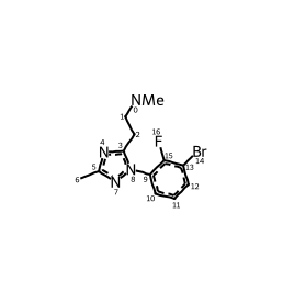 CNCCc1nc(C)nn1-c1cccc(Br)c1F